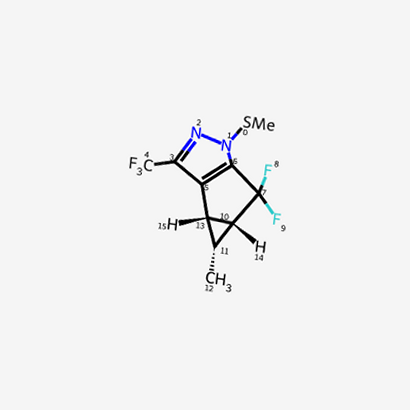 CSn1nc(C(F)(F)F)c2c1C(F)(F)[C@@H]1[C@H](C)[C@H]21